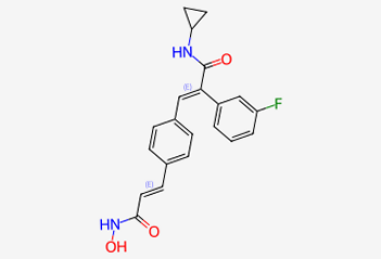 O=C(/C=C/c1ccc(/C=C(/C(=O)NC2CC2)c2cccc(F)c2)cc1)NO